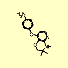 CC1(C)COc2c(Oc3ccc(N)cc3)ccnc2N1